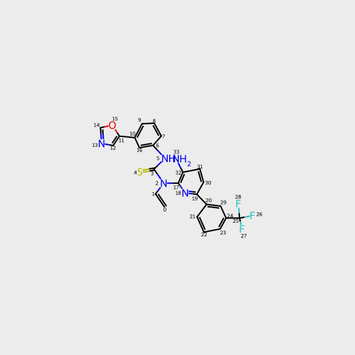 C=CN(C(=S)Nc1cccc(-c2cnco2)c1)c1nc(-c2cccc(C(F)(F)F)c2)ccc1N